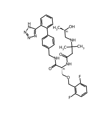 C[C@@H](O)CNC(C)(C)CC(=O)N[C@H](COCc1c(F)cccc1F)C(=O)NCc1ccc(-c2ccccc2-c2nnn[nH]2)cc1